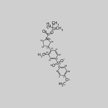 COc1ccc(S(=O)(=O)c2ccc(C3CCN(C(=O)OC(C)(C)C)C3)c(C)c2)cc1